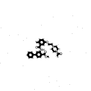 COC(=O)c1ccc(-c2ccccc2)cc1NC(=O)c1cc(OCCN2CCN(C(C)=O)CC2)ccc1C